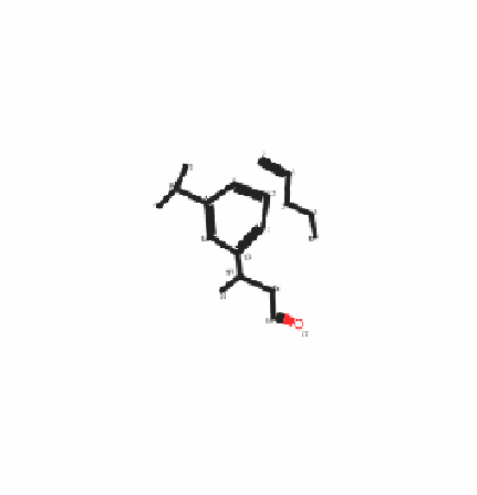 C=CCCC.CC(C)c1cccc(C(C)CC=O)c1